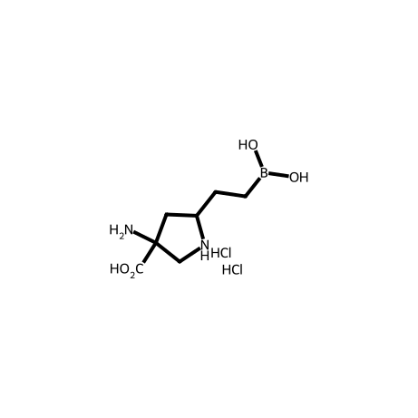 Cl.Cl.NC1(C(=O)O)CNC(CCB(O)O)C1